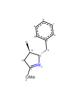 COC1=N[C@@H](Cc2ccccc2)[C@H](C)C1